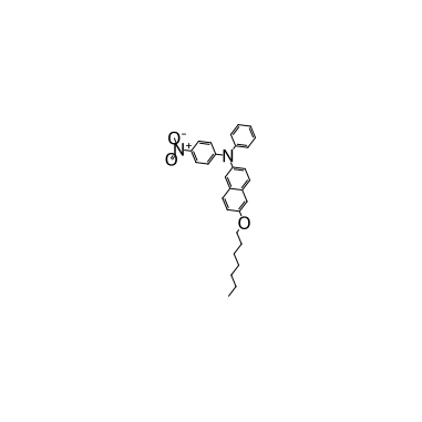 CCCCCCCOc1ccc2cc(N(c3ccccc3)c3ccc([N+](=O)[O-])cc3)ccc2c1